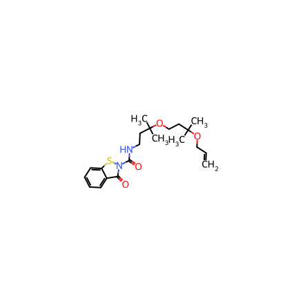 C=CCOC(C)(C)CCOC(C)(C)CCNC(=O)n1sc2ccccc2c1=O